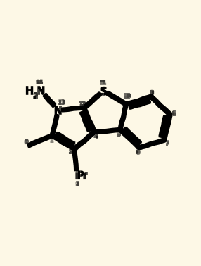 Cc1c(C(C)C)c2c3ccccc3sc2n1N